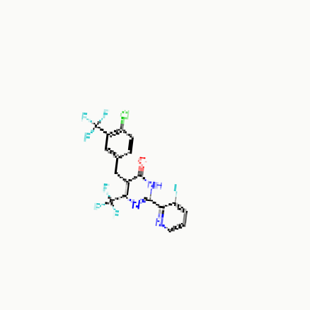 O=c1[nH]c(-c2ncccc2F)nc(C(F)(F)F)c1Cc1ccc(Cl)c(C(F)(F)F)c1